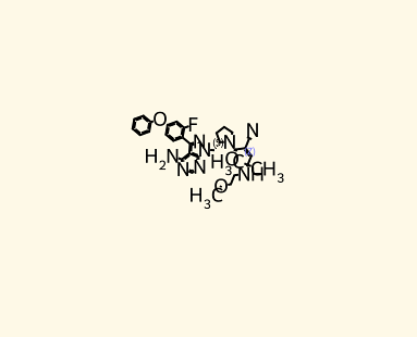 COCCNC(C)(C)/C=C(/C#N)C(=O)N1CCC[C@H]1Cn1nc(-c2ccc(Oc3ccccc3)cc2F)c2c(N)ncnc21